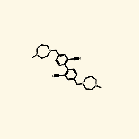 CN1CCCN(Cc2ccc(-c3ccc(CN4CCCN(C)CC4)cc3C#N)c(C#N)c2)CC1